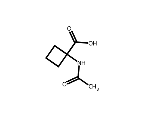 CC(=O)NC1(C(=O)O)CCC1